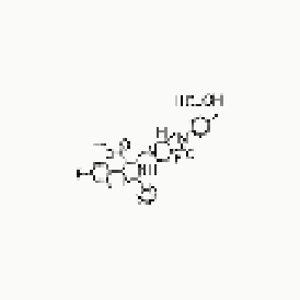 CCOC(=O)C1=C(CN2CC[C@]3(F)C(=O)N(c4ccc(C)c(C(O)O)c4)C[C@@H]3C2)NC(c2nccs2)=N[C@H]1c1ccc(F)cc1C